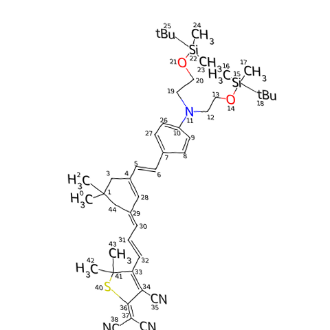 CC1(C)CC(/C=C/c2ccc(N(CCO[Si](C)(C)C(C)(C)C)CCO[Si](C)(C)C(C)(C)C)cc2)=CC(=C/C=C/C2=C(C#N)C(=C(C#N)C#N)SC2(C)C)/C1